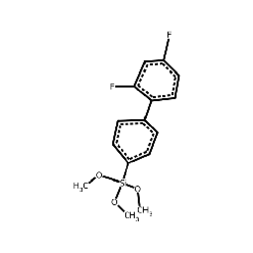 CO[Si](OC)(OC)c1ccc(-c2ccc(F)cc2F)cc1